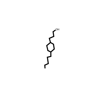 CCCCCC1CCC(CCCO)CC1